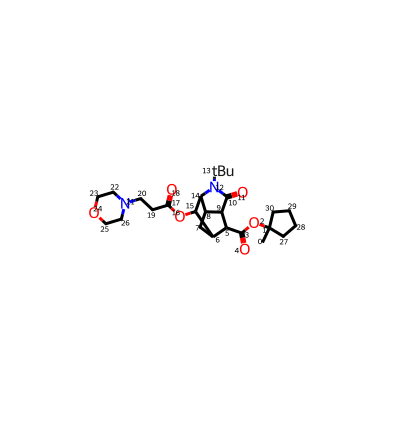 CC1(OC(=O)C2C3CC4C2C(=O)N(C(C)(C)C)C4C3OC(=O)CCN2CCOCC2)CCCC1